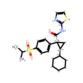 CC(C)S(=O)(=O)c1ccc([C@@]2(C(=O)Nc3nccs3)C[C@H]2C2CCCCC2)cc1